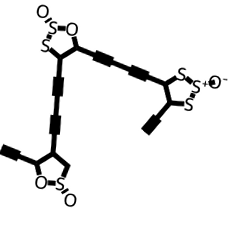 C#CC1OS(=O)CC1C#CC#CC1SS(=O)OC1C#CC#CC1S[S+]([O-])SC1C#C